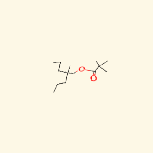 CCCC(C)(CCC)COC(=O)C(C)(C)C